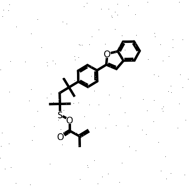 C=C(C)C(=O)OSC(C)(C)CC(C)(C)c1ccc(-c2cc3ccccc3o2)cc1